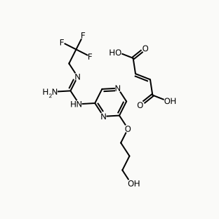 NC(=NCC(F)(F)F)Nc1cncc(OCCCO)n1.O=C(O)C=CC(=O)O